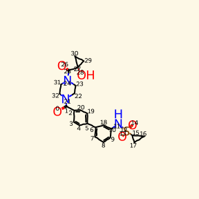 O=C(c1ccc(-c2cccc(NS(=O)(=O)C3CC3)c2)cc1)N1CCN(C(=O)C2(O)CC2)CC1